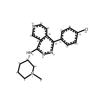 CN1CCC[C@H](Nc2nnc(-c3ccc(Cl)cc3)c3ccncc23)C1